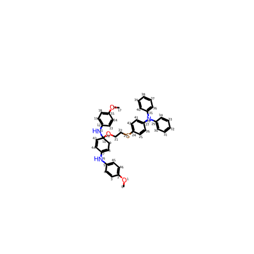 COc1ccc(NC2=CCC(Nc3ccc(OC)cc3)(OCCSc3ccc(N(c4ccccc4)c4ccccc4)cc3)C=C2)cc1